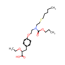 CCCCCSCCN(CCOc1ccc(CC(OCC)C(=O)O)cc1)C(=O)OCCC